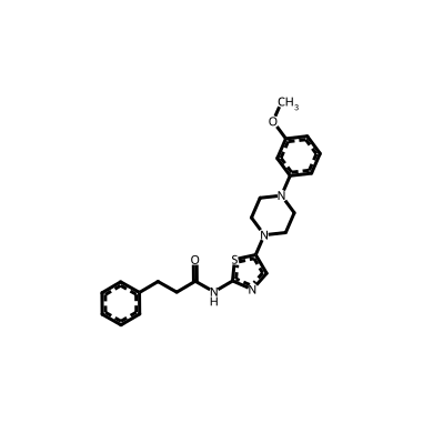 COc1cccc(N2CCN(c3cnc(NC(=O)CCc4ccccc4)s3)CC2)c1